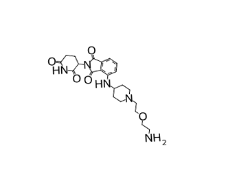 NCCOCCN1CCC(Nc2cccc3c2C(=O)N(C2CCC(=O)NC2=O)C3=O)CC1